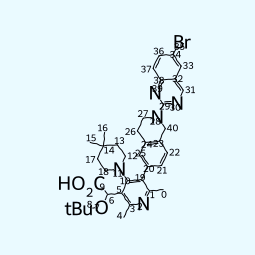 Cc1nc(C)c(C(OC(C)(C)C)C(=O)O)c(N2CCC(C)(C)CC2)c1-c1ccc2c(c1)CCN(c1ncc3cc(Br)ccc3n1)C2